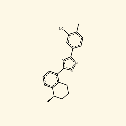 Cc1ccc(-c2nnc(-c3cccc4c3CCC[C@H]4C)s2)cc1C#N